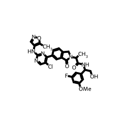 COc1cc(F)cc(C(CO)NC(=O)C(C)N2Cc3ccc(-c4nc(Nc5cnoc5C)ncc4Cl)cc3C2=O)c1